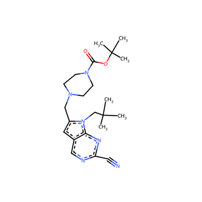 CC(C)(C)Cn1c(CN2CCN(C(=O)OC(C)(C)C)CC2)cc2cnc(C#N)nc21